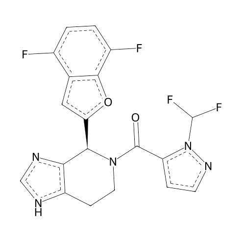 O=C(c1ccnn1C(F)F)N1CCc2[nH]cnc2[C@H]1c1cc2c(F)ccc(F)c2o1